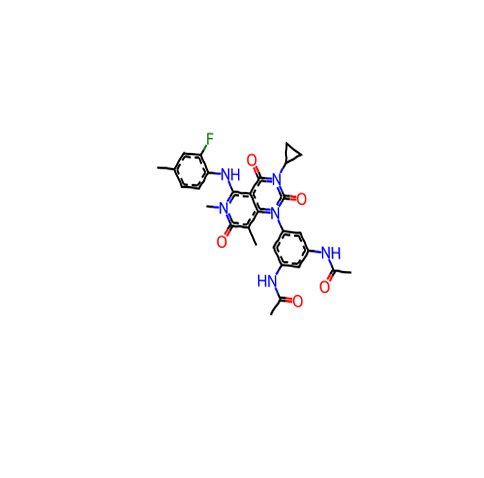 CC(=O)Nc1cc(NC(C)=O)cc(-n2c(=O)n(C3CC3)c(=O)c3c(Nc4ccc(C)cc4F)n(C)c(=O)c(C)c32)c1